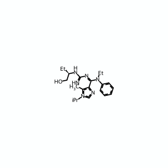 CC[C@H](CO)NC(=N)/N=C(\c1ncn(C(C)C)c1C)N(CC)c1ccccc1